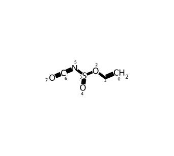 C=COS(=O)N=C=O